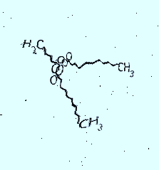 [CH2]CCCC[C](OOC(=O)CCCCCCCCCCC)OOC(=O)CCCCCCCCCCC